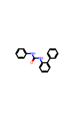 O=C(Nc1ccccc1)Nc1ccccc1-c1[c]cccc1